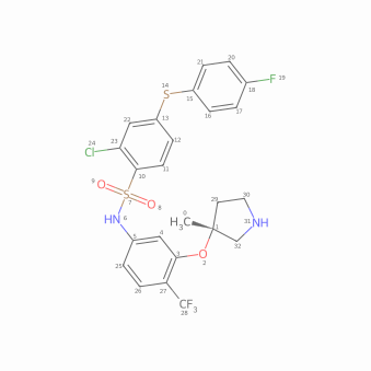 C[C@@]1(Oc2cc(NS(=O)(=O)c3ccc(Sc4ccc(F)cc4)cc3Cl)ccc2C(F)(F)F)CCNC1